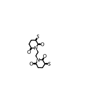 O=C1CCC(=S)C(=O)N1CCN1C(=O)CCC(=S)C1=O